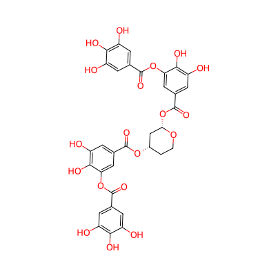 O=C(Oc1cc(C(=O)O[C@H]2CCO[C@@H](OC(=O)c3cc(O)c(O)c(OC(=O)c4cc(O)c(O)c(O)c4)c3)C2)cc(O)c1O)c1cc(O)c(O)c(O)c1